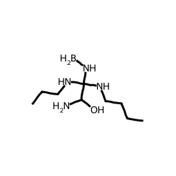 BNC(NCCC)(NCCCC)C(N)O